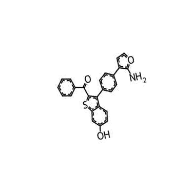 Nc1occc1-c1ccc(-c2c(C(=O)c3ccccc3)sc3cc(O)ccc23)cc1